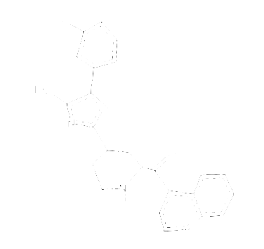 Cc1cccc(-c2sc(C3CCNC(C(=O)c4cccc5ccccc45)C3)nc2C)c1